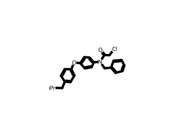 CC(C)Cc1ccc(Oc2ccc(N(Cc3ccccc3)C(=O)CCl)cc2)cc1